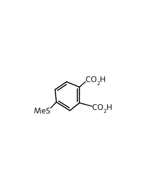 CSc1ccc(C(=O)O)c(C(=O)O)c1